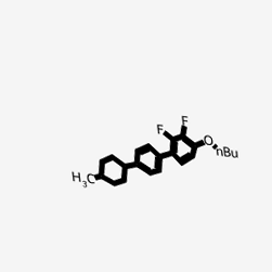 CCCCOc1ccc(-c2ccc(C3CCC(C)CC3)cc2)c(F)c1F